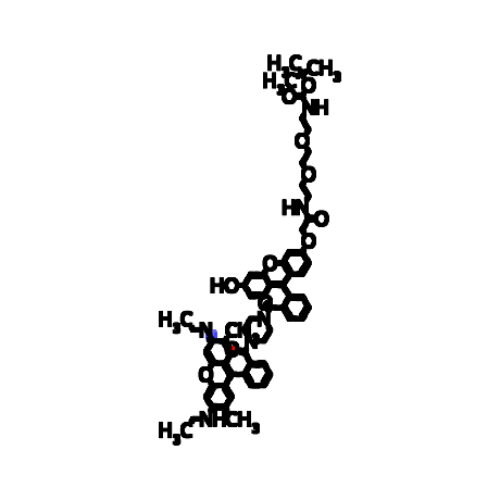 CC/N=c1\cc2oc3cc(NCC)c(C)cc3c(-c3ccccc3C(=O)N3CCN(C(=O)c4ccccc4C4=C5C=CC(O)C=C5Oc5cc(OCC(=O)NCCOCCOCCNC(=O)OC(C)(C)C)ccc54)CC3)c-2cc1C